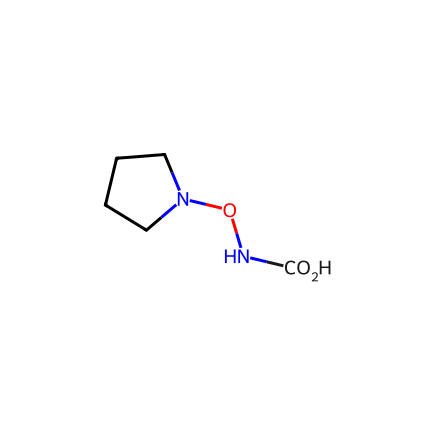 O=C(O)NON1CCCC1